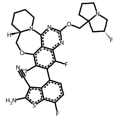 N#Cc1c(N)sc2c(F)ccc(-c3c(Cl)c4c5c(nc(OCC67CCCN6C[C@H](F)C7)nc5c3F)N3CCCC[C@H]3CO4)c12